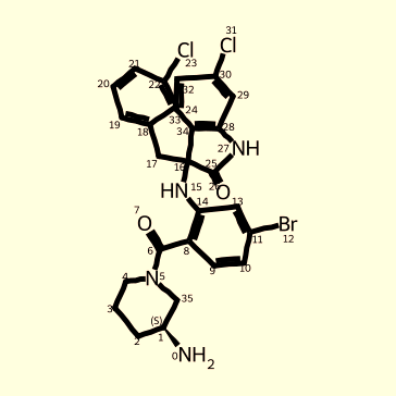 N[C@H]1CCCN(C(=O)c2ccc(Br)cc2NC2(Cc3cccc(Cl)c3)C(=O)Nc3cc(Cl)ccc32)C1